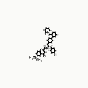 CN(C)c1ccc2oc(C(=O)N[C@H](C=C3CCC(c4ccccc4CN4CCCCC4=O)CC3)Cc3ccc(Cl)cc3)cc(=O)c2c1